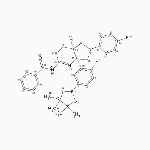 CC1(C)OB(c2ccc(F)c([C@@]34CN(c5ncc(F)cn5)C[C@@H]3CSC(NC(=O)c3ccccc3)=N4)c2)OC1(C)C